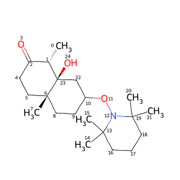 C[C@H]1C(=O)CC[C@@]2(C)CCC(ON3C(C)(C)CCCC3(C)C)C[C@@]12O